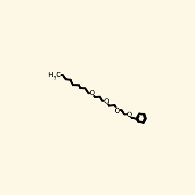 CCCCCCCCCOCCCOCCOCCOCc1ccccc1